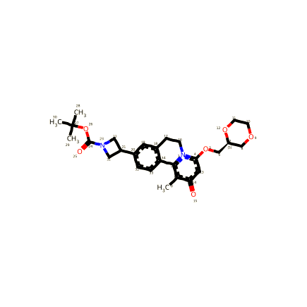 Cc1c2n(c(OC[C@@H]3COCCO3)cc1=O)CCc1cc(C3CN(C(=O)OC(C)(C)C)C3)ccc1-2